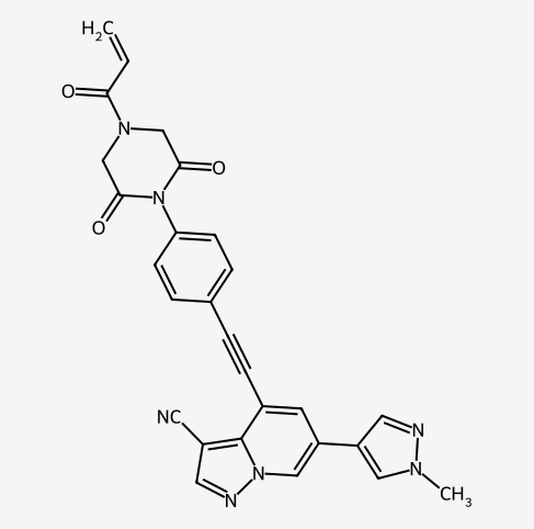 C=CC(=O)N1CC(=O)N(c2ccc(C#Cc3cc(-c4cnn(C)c4)cn4ncc(C#N)c34)cc2)C(=O)C1